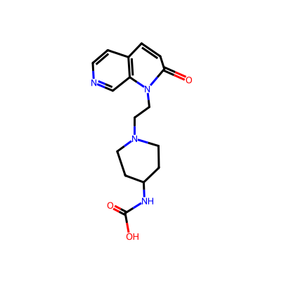 O=C(O)NC1CCN(CCn2c(=O)ccc3ccncc32)CC1